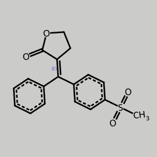 CS(=O)(=O)c1ccc(/C(=C2\CCOC2=O)c2ccccc2)cc1